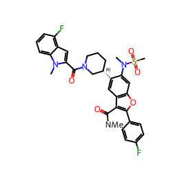 CNC(=O)c1c(-c2ccc(F)cc2)oc2cc(N(C)S(C)(=O)=O)c([C@H]3CCCN(C(=O)c4cc5c(F)cccc5n4C)C3)cc12